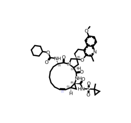 COc1ccc2nc(C)c3c(c2c1)CC[C@]1(C[C@H]2C(=O)N[C@]4(C(=O)NS(=O)(=O)C5(C)CC5)C[C@H]4/C=C\CCCCC[C@H](NC(=O)OC4CCCCC4)C(=O)N2C1)O3